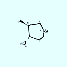 C[C@@H]1CCNC1.Cl